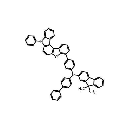 CC1(C)c2ccccc2-c2ccc(N(c3ccc(-c4ccccc4)cc3)c3ccc(-c4cccc5c4oc4ccc6c(c7ccccc7n6-c6ccccc6)c45)cc3)cc21